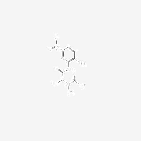 CC(C(=O)Nc1cc([N+](=O)[O-])ccc1N)N(C)C(=O)O